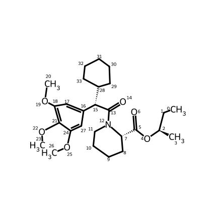 CC[C@@H](C)OC(=O)[C@@H]1CCCCN1C(=O)[C@H](c1cc(OC)c(OC)c(OC)c1)C1CCCCC1